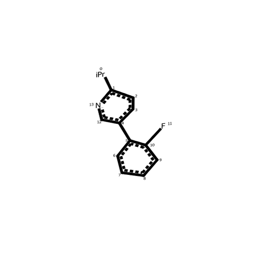 CC(C)c1ccc(-c2ccccc2F)cn1